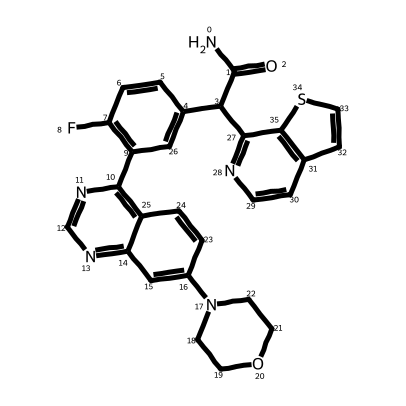 NC(=O)C(c1ccc(F)c(-c2ncnc3cc(N4CCOCC4)ccc23)c1)c1nccc2ccsc12